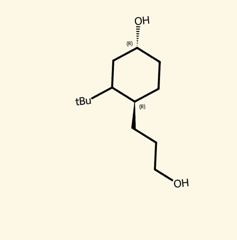 CC(C)(C)C1C[C@H](O)CC[C@H]1CCCO